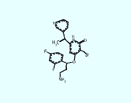 CC(c1cccnc1)c1cc(OC(CCN)c2ccc(F)cc2F)c(Br)c(=O)[nH]1